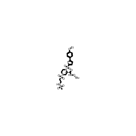 CCOc1ccc(-c2ccc(S(=O)(=O)N3CCN(S(=O)(=O)CCNS(C)(=O)=O)C[C@@H]3C(=O)NOC(C)(C)C)s2)cc1